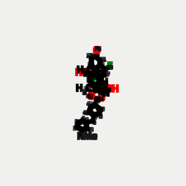 CNc1cccc(Cc2ccc([C@@H]3O[C@@H]4C[C@H]5[C@@H]6C[C@H](F)C7=CC(=O)C=C[C@]7(C)[C@@]6(F)[C@@H](O)C[C@]5(C)C4(C(=O)CO)O3)cc2)c1